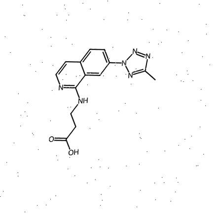 Cc1nnn(-c2ccc3ccnc(NCCC(=O)O)c3c2)n1